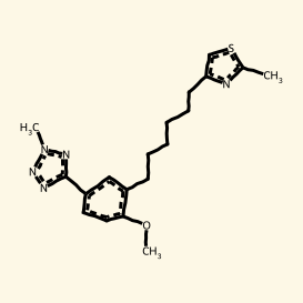 COc1ccc(-c2nnn(C)n2)cc1CCCCCCc1csc(C)n1